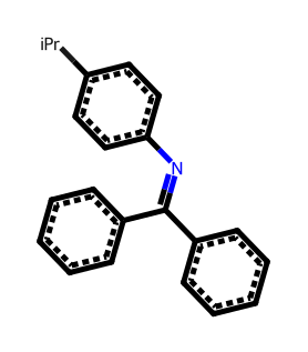 CC(C)c1ccc(N=C(c2ccccc2)c2ccccc2)cc1